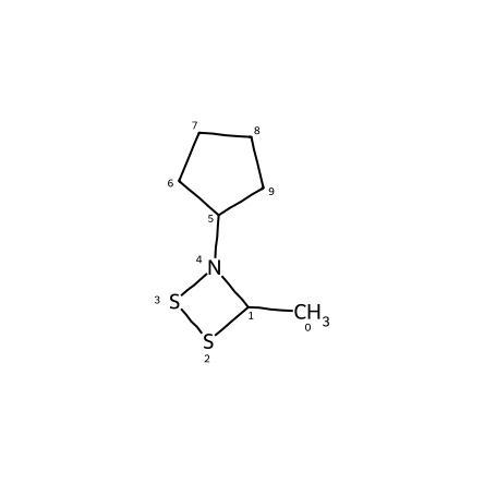 CC1SSN1C1CCCC1